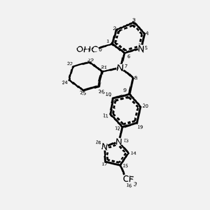 O=Cc1cccnc1N(Cc1ccc(-n2cc(C(F)(F)F)cn2)cc1)C1CCCCC1